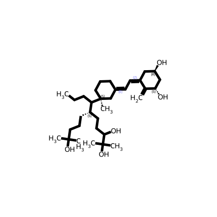 C=C1/C(=C\C=C2/CCC[C@](C)(C(CCC)[C@@H](CCCC(C)(C)O)CCC(O)C(C)(C)O)C2)C[C@@H](O)C[C@@H]1O